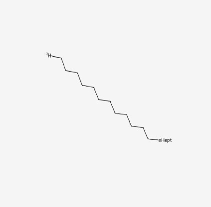 [2H]CCCCCCCCCCCCCCCCCCC